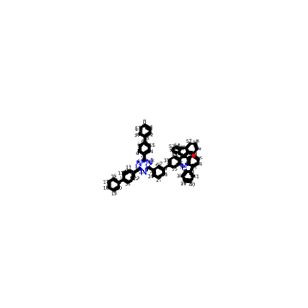 c1ccc(-c2ccc(-c3nc(-c4ccc(-c5ccccc5)cc4)nc(-c4cccc(-c5ccc6c(c5)-n5c7ccccc7c7cccc(c75)C65c6ccccc6-c6ccccc65)c4)n3)cc2)cc1